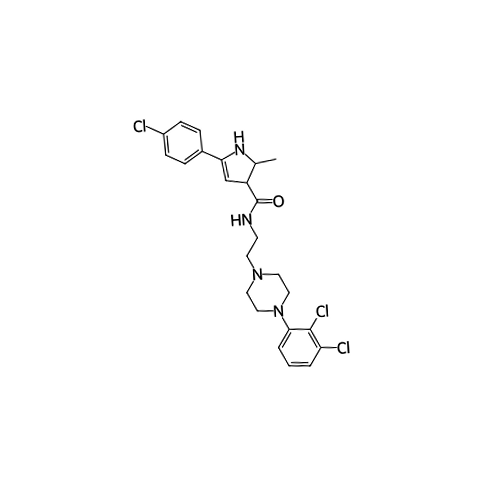 CC1NC(c2ccc(Cl)cc2)=CC1C(=O)NCCN1CCN(c2cccc(Cl)c2Cl)CC1